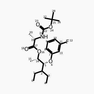 CCC(CC)[C@@H](Oc1cccc(F)c1)[C@H](C)OC(=O)[C@H](C)NC(=O)OC(C)(C)C